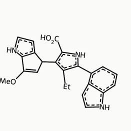 CCc1c(-c2cccc3[nH]ccc23)[nH]c(C(=O)O)c1C1C=C(OC)c2[nH]ccc21